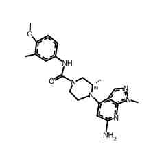 COc1ccc(NC(=O)N2CCN(c3cc(N)nc4c3cnn4C)[C@@H](C)C2)cc1C